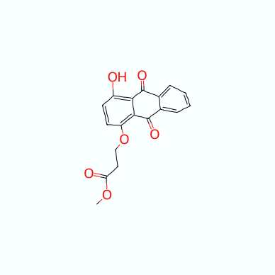 COC(=O)CCOc1ccc(O)c2c1C(=O)c1ccccc1C2=O